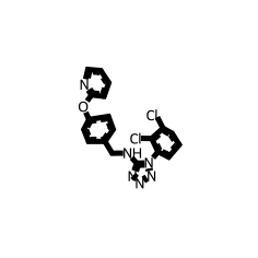 Clc1cccc(-n2nnnc2NCc2ccc(Oc3ccccn3)cc2)c1Cl